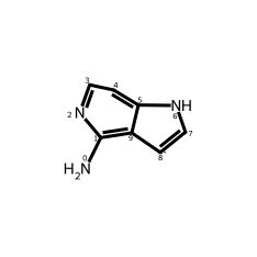 Nc1nccc2[nH]c[c]c12